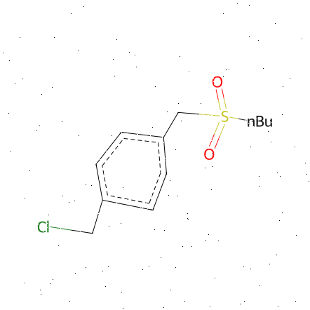 CCCCS(=O)(=O)Cc1ccc(CCl)cc1